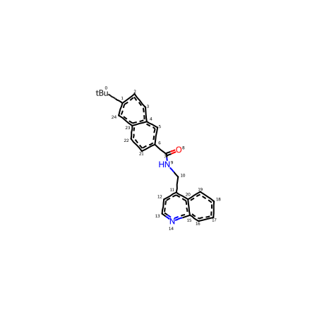 CC(C)(C)c1ccc2cc(C(=O)NCc3ccnc4ccccc34)ccc2c1